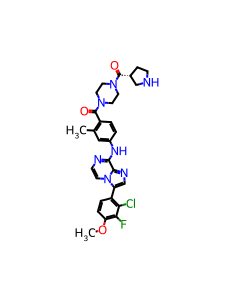 COc1ccc(-c2cnc3c(Nc4ccc(C(=O)N5CCN(C(=O)[C@@H]6CCNC6)CC5)c(C)c4)nccn23)c(Cl)c1F